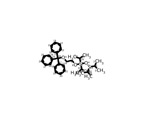 CC(C)[Si](O[Si](OCCOC(c1ccccc1)(c1ccccc1)c1ccccc1)(C(C)C)C(C)C)C(C)C